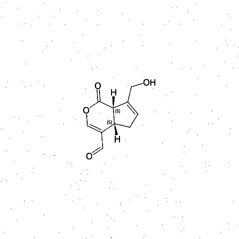 O=CC1=COC(=O)[C@@H]2C(CO)=CC[C@H]12